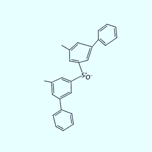 Cc1cc(-c2ccccc2)cc([S+]([O-])c2cc(C)cc(-c3ccccc3)c2)c1